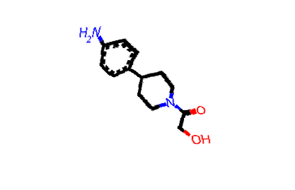 Nc1ccc(C2CCN(C(=O)CO)CC2)cc1